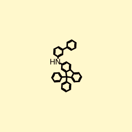 c1ccc(-c2cccc(Nc3ccc4c(c3)C(c3ccccc3)(c3ccccc3)c3ccccc3-4)c2)cc1